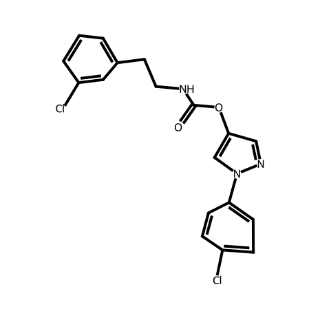 O=C(NCCc1cccc(Cl)c1)Oc1cnn(-c2ccc(Cl)cc2)c1